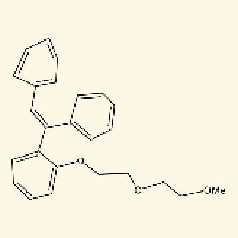 COCCOCCOc1ccccc1C(=Cc1ccccc1)c1ccccc1